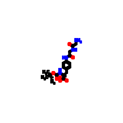 CC(C)(C)OC(=O)N[C@@H](Cc1ccc(NC(=O)CNC(=O)CN)cc1)C(=O)O